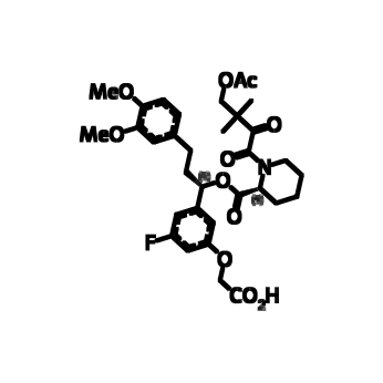 COc1ccc(CC[C@@H](OC(=O)[C@@H]2CCCCN2C(=O)C(=O)C(C)(C)COC(C)=O)c2cc(F)cc(OCC(=O)O)c2)cc1OC